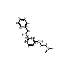 CN(C)CCNc1ccnc(NCc2ccccc2)n1